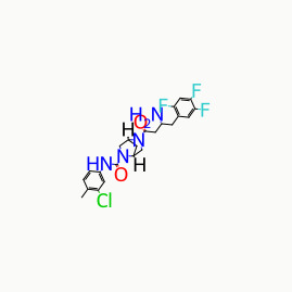 Cc1ccc(NC(=O)N2C[C@H]3C[C@@H]2CN3C(=O)C[C@H](N)Cc2cc(F)c(F)cc2F)cc1Cl